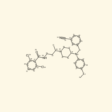 CSc1ccc(N(Cc2cccc(C#N)c2)C2CCN(C(C)CCNC(=O)c3c(Cl)cncc3Cl)CC2)cc1